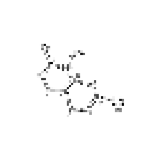 CC(C)n1c(=O)ccc2ccc(C#N)cc21